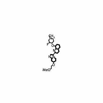 COCCOc1ccn2c(-c3ccc4cccc(O[C@H]5CCN(C)CC5F)c4n3)cnc2c1